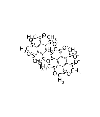 C[S+]([O-])c1c(SSc2c([S+](C)[O-])c([S+](C)[O-])c([S+](C)[O-])c([S+](C)[O-])c2[S+](C)[O-])c([S+](C)[O-])c([S+](C)[O-])c([S+](C)[O-])c1[S+](C)[O-]